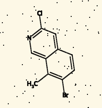 Cc1c(Br)ccc2cc(Cl)ncc12